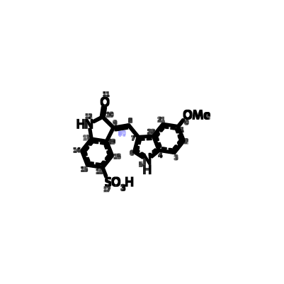 COc1ccc2[nH]cc(/C=C3/C(=O)Nc4ccc(S(=O)(=O)O)cc43)c2c1